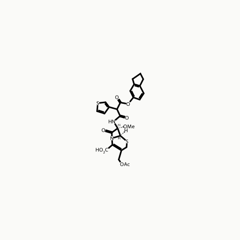 CO[C@@]1(NC(=O)C(C(=O)Oc2ccc3c(c2)CCC3)c2ccsc2)C(=O)N2C(C(=O)O)=C(COC(C)=O)CS[C@@H]21